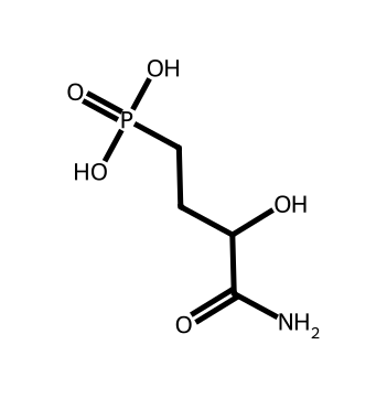 NC(=O)C(O)CCP(=O)(O)O